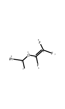 CC(C)C(C)OC(F)=C(F)F